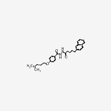 CN(C)CCCOc1ccc(C(=O)NNC(=O)CCCCc2ccc3ccccc3c2)cc1